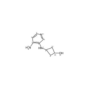 Nc1ccncc1NC1CC(O)C1